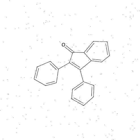 O=C1C(c2ccccc2)=C(c2ccccc2)c2ccccc21